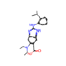 CCN(CC)c1cc2nc(Nc3ccccc3C(C)C)[nH]c2cc1C(=O)O